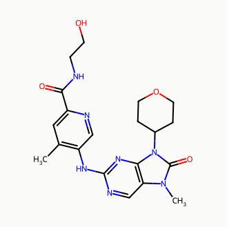 Cc1cc(C(=O)NCCO)ncc1Nc1ncc2c(n1)n(C1CCOCC1)c(=O)n2C